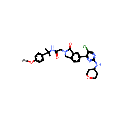 CCCOc1ccc(C(C)(C)NC(=O)CN2Cc3ccc(-c4nc(NC5CCOCC5)ncc4Cl)cc3C2=O)cc1